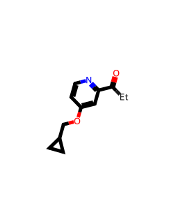 CCC(=O)c1cc(OCC2CC2)ccn1